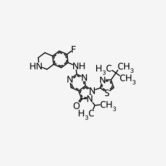 CC(C)n1c(=O)c2cnc(Nc3cc4c(cc3F)CCNC4)nc2n1-c1nc(C(C)(C)C)cs1